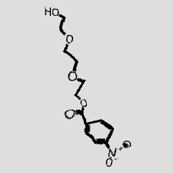 O=C(OCCOCCOCCO)c1ccc([N+](=O)[O-])cc1